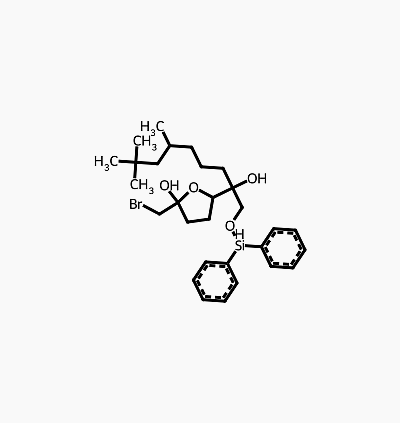 CC(CCCC(O)(CO[SiH](c1ccccc1)c1ccccc1)C1CCC(O)(CBr)O1)CC(C)(C)C